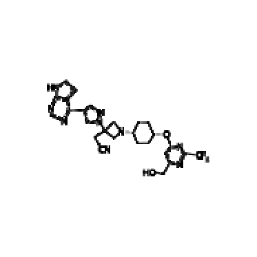 N#CCC1(n2cc(-c3ncnc4[nH]ccc34)cn2)CN([C@H]2CC[C@@H](Oc3cc(CO)nc(C(F)(F)F)n3)CC2)C1